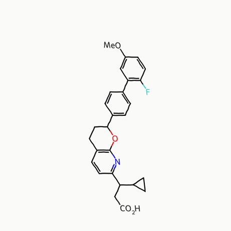 COc1ccc(F)c(-c2ccc(C3CCc4ccc(C(CC(=O)O)C5CC5)nc4O3)cc2)c1